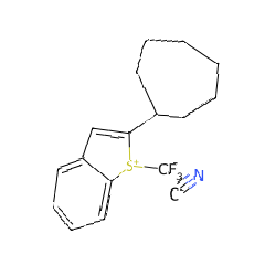 FC(F)(F)[s+]1c(C2CCCCCC2)cc2ccccc21.[C-]#N